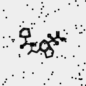 CC(C)NS(=O)(=O)c1ccc(CC(C)NC(=O)c2ccccc2)c2c1CCC2